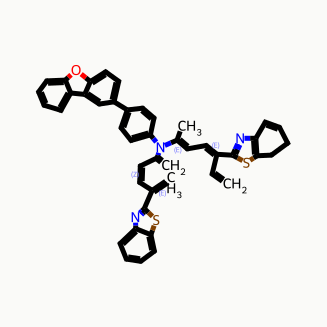 C=C/C(=C\C=C(/C)N(C(=C)/C=C\C(=C/C)c1nc2ccccc2s1)c1ccc(-c2ccc3oc4ccccc4c3c2)cc1)c1nc2c(s1)CCC=C2